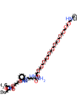 C=C(NCCOCCOCCOCCOCCOCCOCCOCCOCCOCCOCCOCCOCCC(=O)N[C@@H](CCCCn1nnc2c1CCCCCC2OCCCCOC(=O)N1CC(C)OC(CC(C)(C)C)C1)C(N)=O)C(C)C